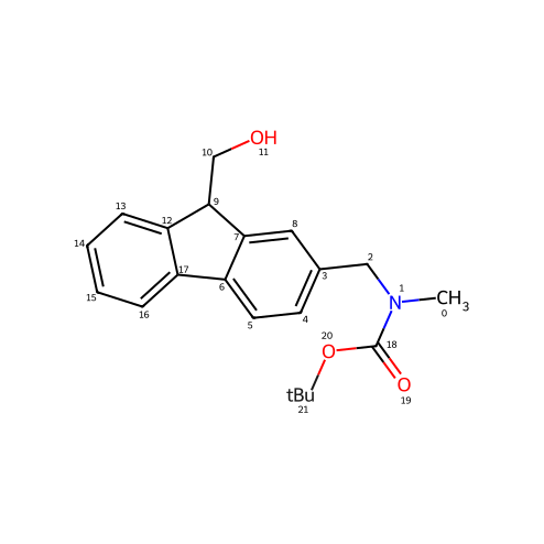 CN(Cc1ccc2c(c1)C(CO)c1ccccc1-2)C(=O)OC(C)(C)C